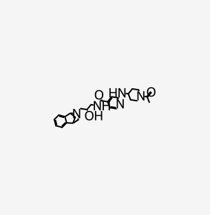 CC(=O)N1CCC(Nc2cc(C(=O)NC[C@H](O)CN3CC4CC3c3ccccc34)ccn2)CC1